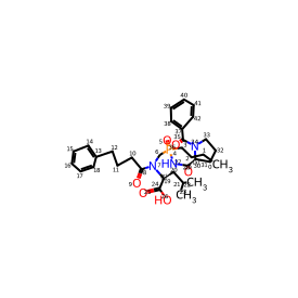 CCCCP(=O)(CN(C(=O)CCCc1ccccc1)[C@@H](CC(C)C)C(=O)O)NC(=O)[C@@H]1CCCN1C(=O)c1ccccc1